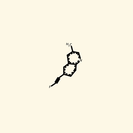 Cc1cnc2ccc(C#CF)cc2c1